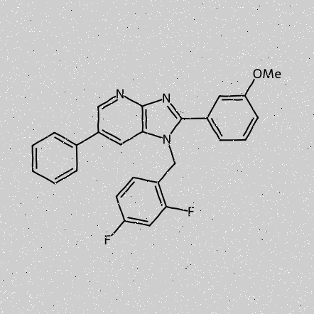 COc1cccc(-c2nc3ncc(-c4ccccc4)cc3n2Cc2ccc(F)cc2F)c1